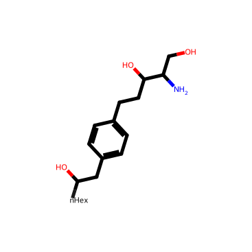 CCCCCCC(O)Cc1ccc(CCC(O)C(N)CO)cc1